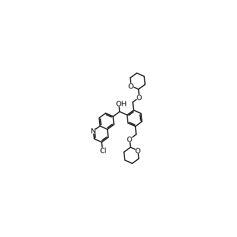 OC(c1ccc2ncc(Cl)cc2c1)c1cc(COC2CCCCO2)ccc1COC1CCCCO1